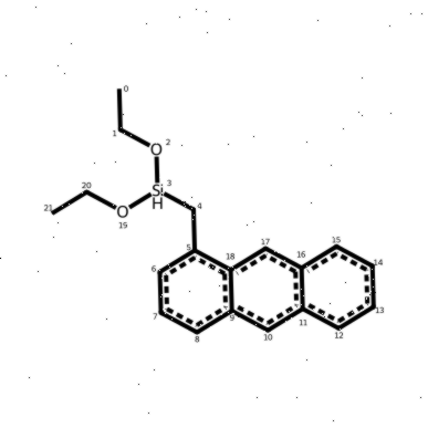 CCO[SiH](Cc1cccc2cc3ccccc3cc12)OCC